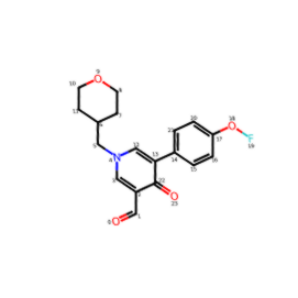 O=Cc1cn(CC2CCOCC2)cc(-c2ccc(OF)cc2)c1=O